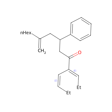 C=C(CCCCCC)CC(CC(=O)C(/C=C\CC)=C/CC)c1ccccc1